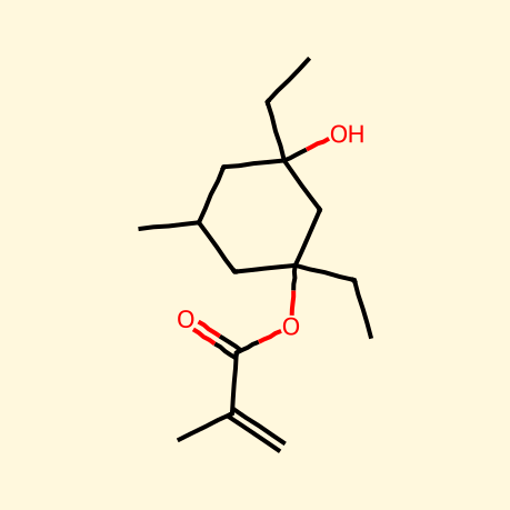 C=C(C)C(=O)OC1(CC)CC(C)CC(O)(CC)C1